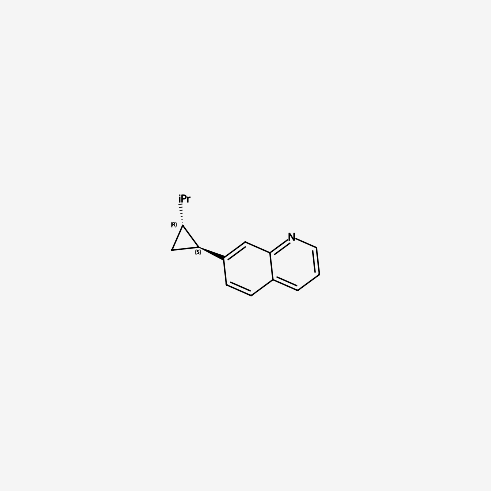 CC(C)[C@H]1C[C@@H]1c1ccc2cccnc2c1